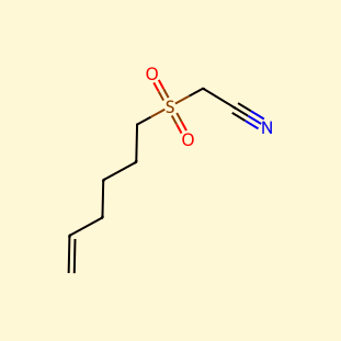 C=CCCCCS(=O)(=O)CC#N